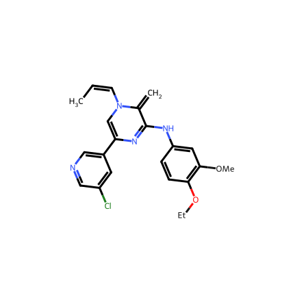 C=C1C(Nc2ccc(OCC)c(OC)c2)=NC(c2cncc(Cl)c2)=CN1/C=C\C